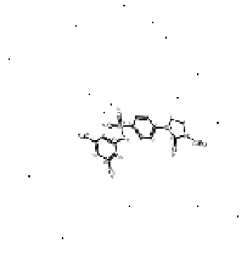 CCCCN1CCN(c2ccc(S(=O)(=O)Oc3cc(Cl)cc(Cl)c3)cc2)C1=O